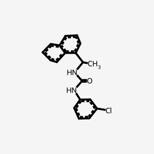 CC(NC(=O)Nc1cccc(Cl)c1)c1cccc2ccccc12